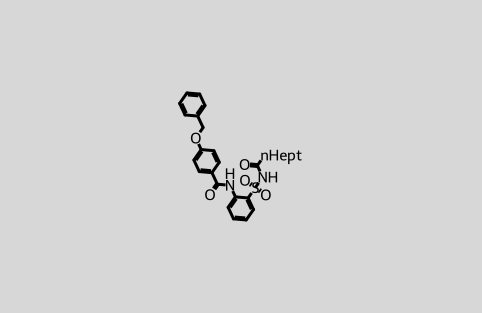 CCCCCCCC(=O)NS(=O)(=O)c1ccccc1NC(=O)c1ccc(OCc2ccccc2)cc1